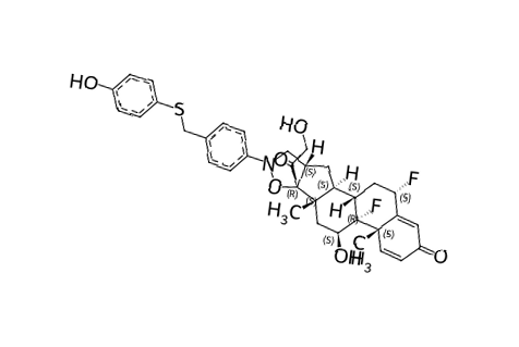 C[C@]12C=CC(=O)C=C1[C@@H](F)C[C@H]1[C@@H]3C[C@H]4CN(c5ccc(CSc6ccc(O)cc6)cc5)O[C@@]4(C(=O)CO)[C@@]3(C)C[C@H](O)[C@@]12F